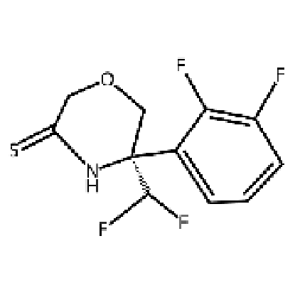 Fc1cccc([C@]2(C(F)F)COCC(=S)N2)c1F